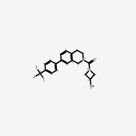 O=C(N1CCc2ccc(-c3ccc(C(F)(F)F)cc3)cc2C1)N1CC(O)C1